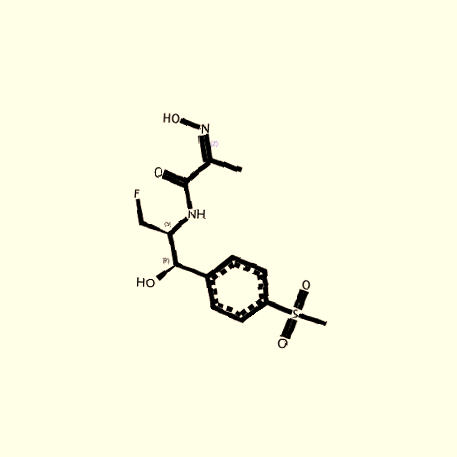 C/C(=N/O)C(=O)N[C@H](CF)[C@H](O)c1ccc(S(C)(=O)=O)cc1